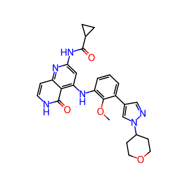 COc1c(Nc2cc(NC(=O)C3CC3)nc3cc[nH]c(=O)c23)cccc1-c1cnn(C2CCOCC2)c1